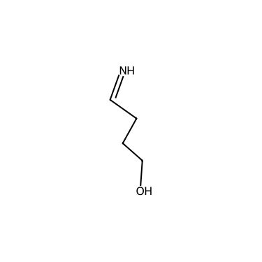 N=CCCCO